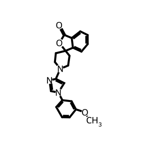 COc1cccc(-n2cnc(N3CCC4(CC3)OC(=O)c3ccccc34)c2)c1